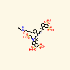 C#CCNC(=O)CCCCc1cccc(C(=C\C=C2\N(CCCS(=O)(=O)O)c3ccc4c(S(=O)(=O)O)cc(S(=O)(=O)O)cc4c3C2(C)C)/C=C/CC(C)(C)c2cccc3c(S(=O)(=O)O)cc(S(=O)(=O)O)cc23)c1